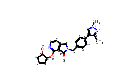 Cc1nn(C)cc1-c1ccc(CN2Cc3ccnc(OC4CCCC4O)c3C2=O)cc1